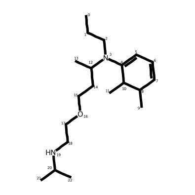 CCCN(C1=CC=CC(C)C1C)C(C)CCOCCNC(C)C